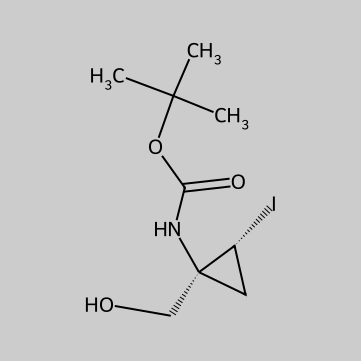 CC(C)(C)OC(=O)N[C@]1(CO)C[C@H]1I